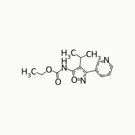 CCOC(=O)Nc1onc(-c2cccnc2)c1C(C)C